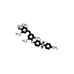 COc1c(C)cc(Cc2cc(C)c(Oc3ccc(S(=O)(=O)c4ccc(C)cc4)cc3)c(C)c2)cc1C